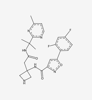 Cc1ccnc(C(C)(C)NC(=O)CC2(NC(=O)c3cc(-c4ccc(F)cc4F)on3)CNC2)n1